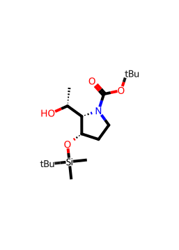 C[C@@H](O)[C@H]1[C@@H](O[Si](C)(C)C(C)(C)C)CCN1C(=O)OC(C)(C)C